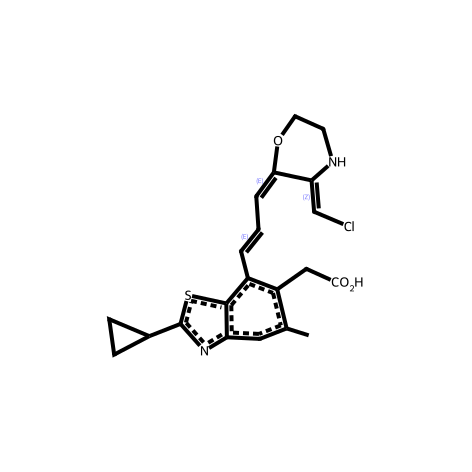 Cc1cc2nc(C3CC3)sc2c(/C=C/C=C2/OCCN/C2=C\Cl)c1CC(=O)O